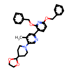 Cc1cc(-c2ccc(OCc3ccccc3)nc2OCc2ccccc2)ncc1N1CCC(C2OCCO2)CC1